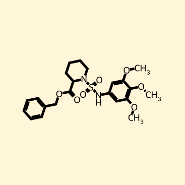 COc1cc(NS(=O)(=O)N2CCCCC2C(=O)OCc2ccccc2)cc(OC)c1OC